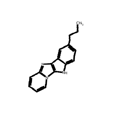 CCCc1ccc2[nH]c3c(nc4ccccn43)c2c1